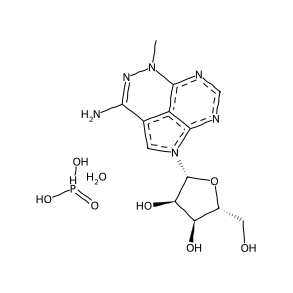 CN1N=C(N)c2cn([C@@H]3O[C@H](CO)[C@@H](O)[C@H]3O)c3ncnc1c23.O.O=[PH](O)O